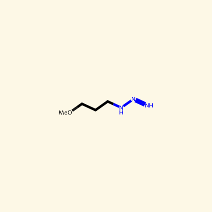 COCCCNN=N